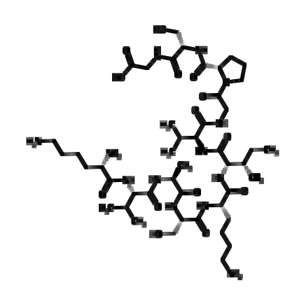 CC[C@H](C)[C@H](NC(=O)[C@H](CCCCN)NC(=O)[C@H](CO)NC(=O)[C@H](C)NC(=O)[C@@H](NC(=O)[C@@H](N)CCCCN)C(C)C)C(=O)N[C@H](C(=O)NCC(=O)N1CCC[C@H]1C(=O)N[C@@H](CO)C(=O)NCC(=O)O)C(C)C